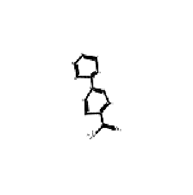 NC(=O)c1ccc(-c2c[c]ccc2)cc1